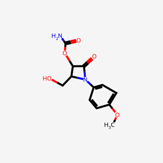 COc1ccc(N2C(=O)C(OC(N)=O)C2CO)cc1